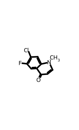 Cn1ccc(=O)c2cc(F)c(Cl)cc21